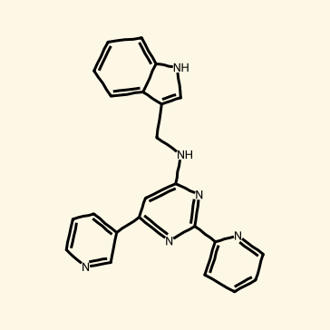 c1ccc(-c2nc(NCc3c[nH]c4ccccc34)cc(-c3cccnc3)n2)nc1